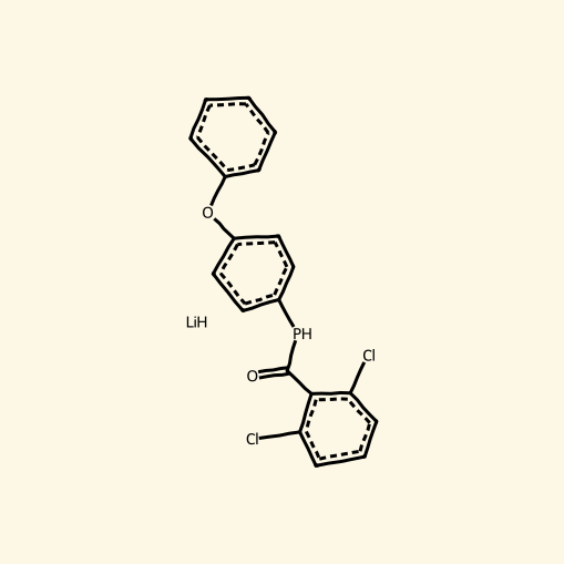 O=C(Pc1ccc(Oc2ccccc2)cc1)c1c(Cl)cccc1Cl.[LiH]